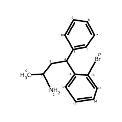 CC(N)CC(c1ccccc1)c1ccccc1Br